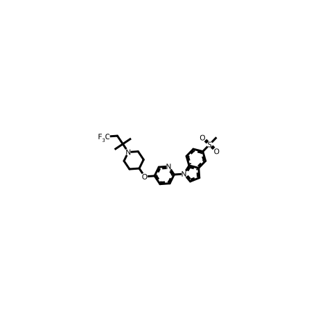 CC(C)(CC(F)(F)F)N1CCC(Oc2ccc(-n3ccc4cc(S(C)(=O)=O)ccc43)nc2)CC1